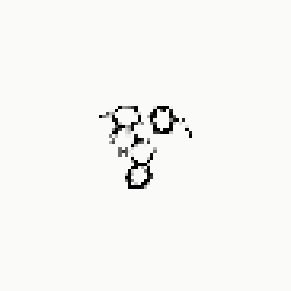 COc1ccc([C@H]2CCN(C)C(=O)[C@@H]2C(=O)Nc2ccccc2F)cc1